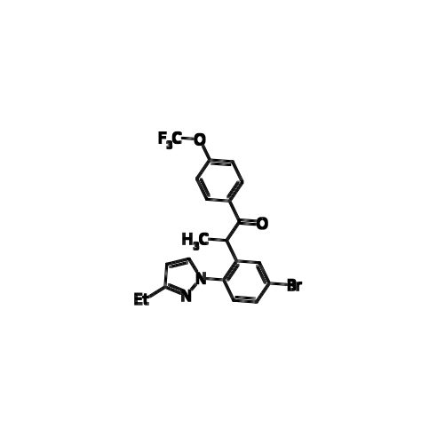 CCc1ccn(-c2ccc(Br)cc2C(C)C(=O)c2ccc(OC(F)(F)F)cc2)n1